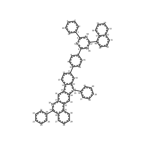 c1ccc(-c2nc(-c3ccc(-c4ccc5c6cc7nc(-c8ccccc8)c8ccccc8c7cc6n(-c6ccccc6)c5c4)cc3)nc(-c3cccc4ccccc34)n2)cc1